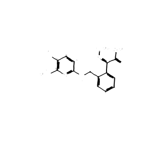 CNC(=O)C(=NOC)c1ccccc1COc1ccc(C(F)(F)F)c(SC)n1